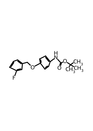 CC(C)(C)OC(=O)Nc1ccc(OCc2cccc(F)c2)cc1